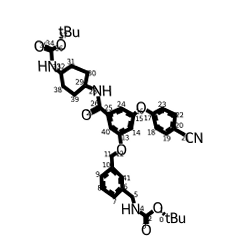 CC(C)(C)OC(=O)NCc1cccc(COc2cc(Oc3ccc(C#N)cc3)cc(C(=O)NC3CCC(NC(=O)OC(C)(C)C)CC3)c2)c1